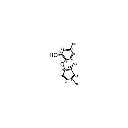 Cc1ccc(Oc2ccc(C)cc2O)c(C)c1